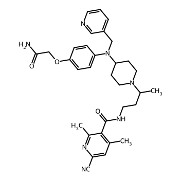 Cc1cc(C#N)nc(C)c1C(=O)NCCC(C)N1CCC(N(Cc2cccnc2)c2ccc(OCC(N)=O)cc2)CC1